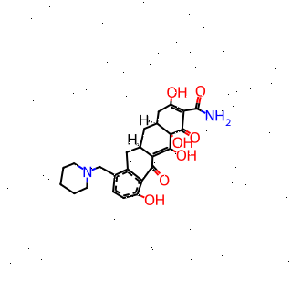 NC(=O)C1=C(O)C[C@@H]2C[C@@H]3Cc4c(CN5CCCCC5)ccc(O)c4C(=O)C3=C(O)[C@]2(O)C1=O